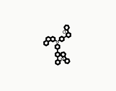 c1ccc(-n2c3ccccc3c3ccccc32)c(-c2ccc(-c3ccc(N(c4ccc(-c5cccc6c5oc5ccccc56)cc4)c4ccc5ccc6ccccc6c5c4)cc3)cc2)c1